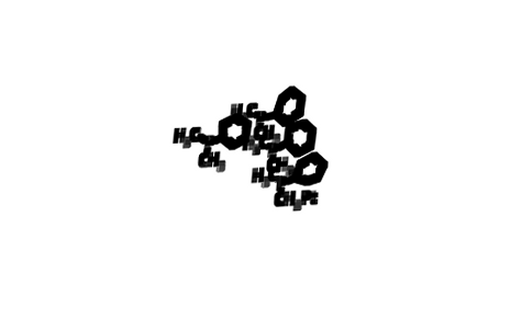 CP(C)c1ccccc1.CP(C)c1ccccc1.CP(C)c1ccccc1.CP(C)c1ccccc1.[Pt]